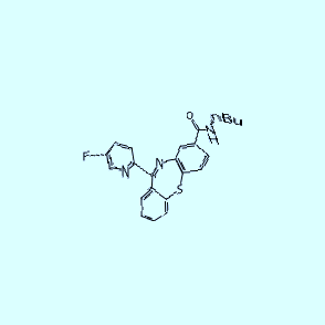 CCCCNC(=O)c1ccc2c(c1)N=C(c1ccc(F)cn1)c1ccccc1S2